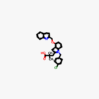 CC(C)(Cc1cc2c(OCc3ccc4ccccc4n3)cccc2n1Cc1ccc(Cl)cc1)C(=O)O